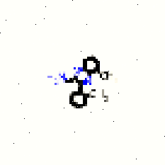 Cc1ccccc1-c1nc2c(C)cccc2nc1CN